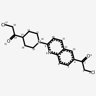 O=C(CCl)c1ccc2nc(N3CCC(C(=O)CCl)CC3)ccc2c1